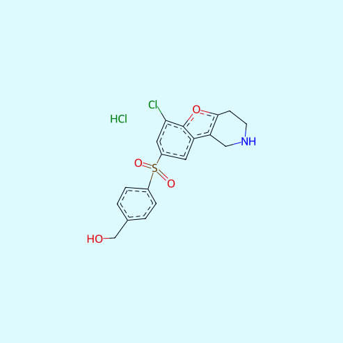 Cl.O=S(=O)(c1ccc(CO)cc1)c1cc(Cl)c2oc3c(c2c1)CNCC3